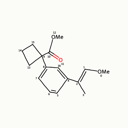 COC=C(C)c1cccc(C2(C(=O)OC)CCC2)c1